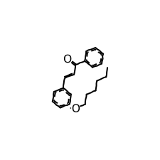 CCCCCC[O].O=C(C=Cc1ccccc1)c1ccccc1